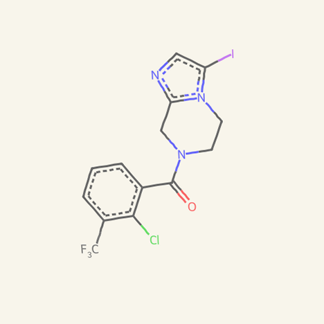 O=C(c1cccc(C(F)(F)F)c1Cl)N1CCn2c(I)cnc2C1